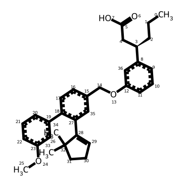 CCC[C@H](CC(=O)O)c1cccc(OCc2ccc(-c3cccc(OC)c3)c(C3=CCCC3(C)C)c2)c1